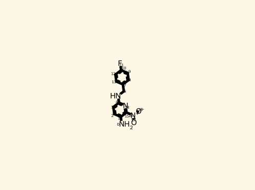 Nc1ccc(NCc2ccc(F)cc2)nc1[N+](=O)[O-]